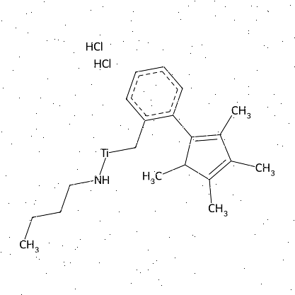 CCCC[NH][Ti][CH2]c1ccccc1C1=C(C)C(C)=C(C)C1C.Cl.Cl